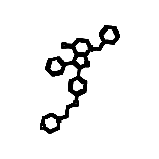 O=c1ccn(Cc2ccccc2)c2oc(-c3ccc(OCCN4CCOCC4)cc3)c(-c3ccccc3)c12